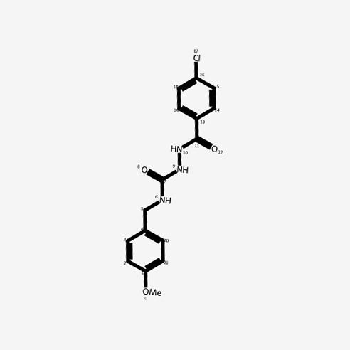 COc1ccc(CNC(=O)NNC(=O)c2ccc(Cl)cc2)cc1